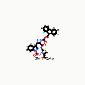 COC(=O)c1csc(NC(=O)C(Cc2cn(C(=O)OC(C)(C)C)c3ccccc23)NC(=O)OCC2c3ccccc3-c3ccccc32)n1